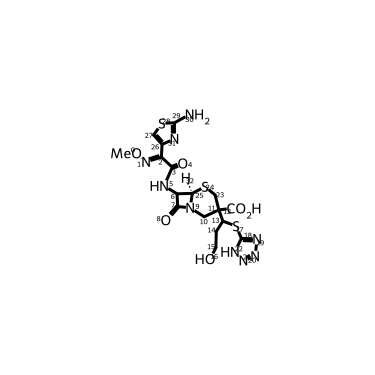 CON=C(C(=O)NC1C(=O)N2CC(C(=O)O)(C(CCO)Sc3nnn[nH]3)CS[C@H]12)c1csc(N)n1